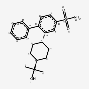 CC(C)(O)[C@H]1CC[C@H](c2cc(S(N)(=O)=O)ccc2-c2ccccc2)CC1